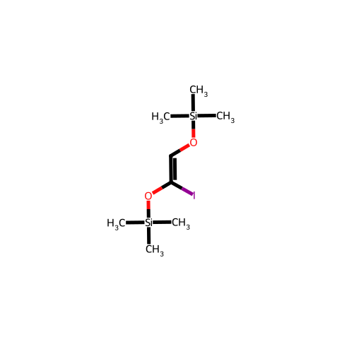 C[Si](C)(C)OC=C(I)O[Si](C)(C)C